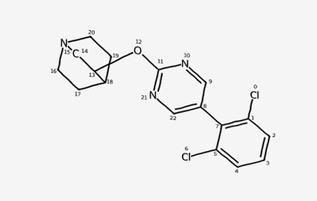 Clc1cccc(Cl)c1-c1cnc(OC2CN3CCC2CC3)nc1